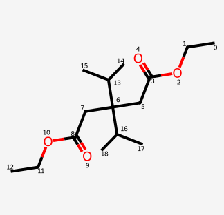 CCOC(=O)CC(CC(=O)OCC)(C(C)C)C(C)C